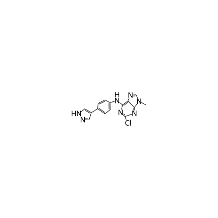 Cn1cnc2c(Nc3ccc(-c4cn[nH]c4)cc3)nc(Cl)nc21